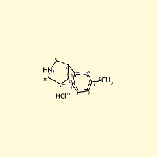 Cc1ccc2c(c1)C1CNCC2C1.Cl